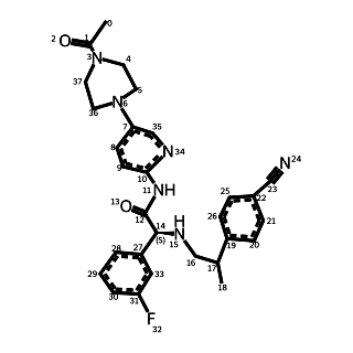 CC(=O)N1CCN(c2ccc(NC(=O)[C@@H](NCC(C)c3ccc(C#N)cc3)c3cccc(F)c3)nc2)CC1